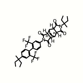 CCC(C)(CC)c1ccc(-c2ccc(N3C(=O)[C@@H]4C5C=CC([C@H]6C(=O)N(C(C)(CC)CC)C(=O)[C@@H]56)[C@@H]4C3=O)cc2C(F)(F)F)c(C(F)(F)F)c1